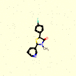 CN1C(=O)C(c2ccc(F)cc2)SC1c1cccnc1